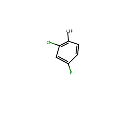 [CH]c1ccc(F)cc1Cl